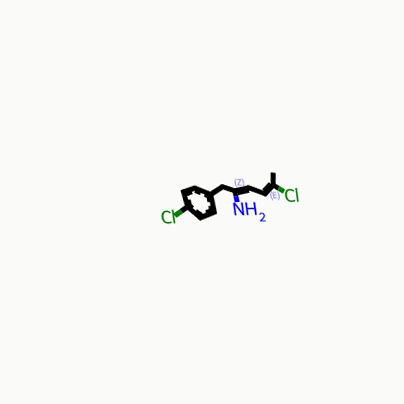 C/C(Cl)=C\C=C(/N)Cc1ccc(Cl)cc1